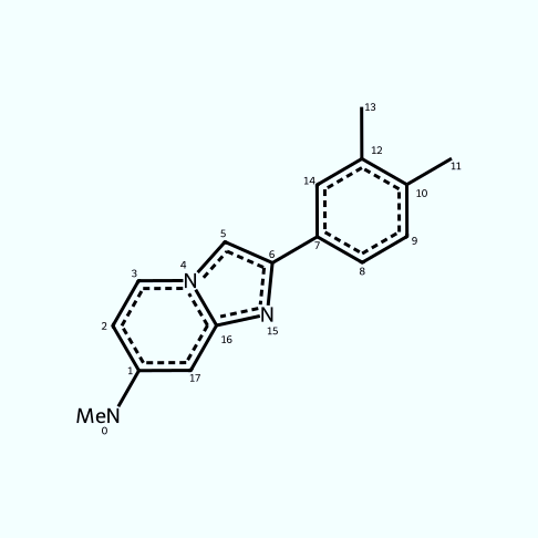 CNc1ccn2cc(-c3ccc(C)c(C)c3)nc2c1